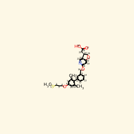 CSCCCOc1cc(C)c(-c2cccc(COc3cc4c(cn3)[C@@H](CC(=O)O)CO4)c2)c(C)c1